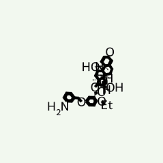 CCOc1ccc(OCc2cccc(N)c2)cc1[C@H]1O[C@@H]2C[C@H]3[C@@H]4CCC5=CC(=O)C=C[C@]5(C)[C@H]4[C@@H](O)C[C@]3(C)[C@]2(C(=O)CO)O1